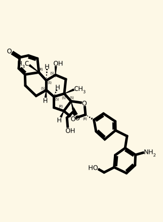 C[C@]12C=CC(=O)C=C1CC[C@@H]1[C@@H]2[C@@H](O)C[C@@]2(C)[C@H]1C[C@H]1O[C@@H](c3ccc(Cc4cc(CO)ccc4N)cc3)O[C@]12C(=O)CO